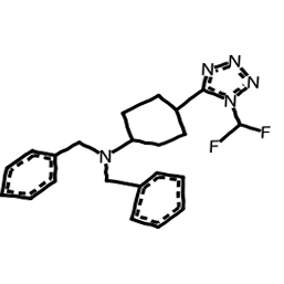 FC(F)n1nnnc1C1CCC(N(Cc2ccccc2)Cc2ccccc2)CC1